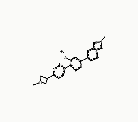 CN1CC(c2ccc(-c3ccc(-c4ccc5nn(C)cc5c4)cc3O)nn2)C1.Cl